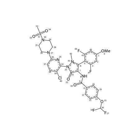 COc1cc(F)c(-c2c(NC(=O)c3ccc(OC(F)F)cc3)c(=O)n(-c3nc(N4CCN(S(C)(=O)=O)CC4)ccc3Cl)n2C)c(F)c1